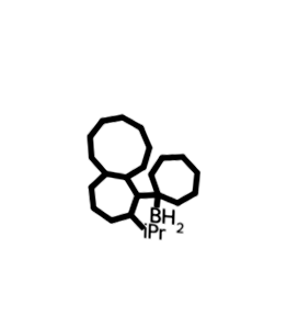 BC1(C2C(C(C)C)CCCC3CCCCCCCC32)CCCCCC1